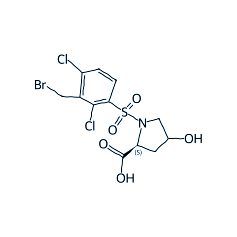 O=C(O)[C@@H]1CC(O)CN1S(=O)(=O)c1ccc(Cl)c(CBr)c1Cl